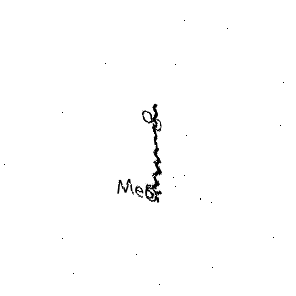 CC=CC(=O)OCCCCCCCCCCC[Si](C)(C)OC